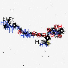 CCC(CC)C1CC(N[C@H]2CCC(CNCC(=O)NCC3CN(CCOCCOCCOc4cc(C5SCNC5C)ccc4CNC(=O)[C@@H]4C[C@@H](O)CN4C(=O)[C@H](C(C)C)N4Cc5ccccc5C4=O)NN3)C2)N2NCCC2N1